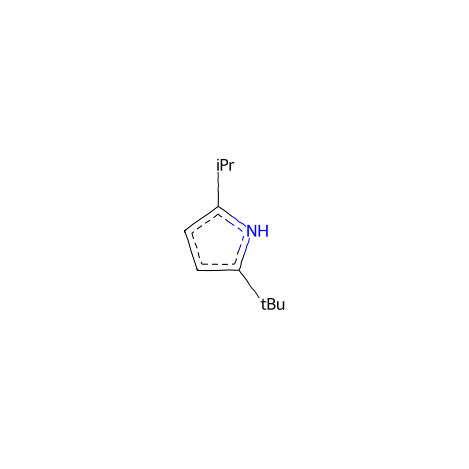 CC(C)c1ccc(C(C)(C)C)[nH]1